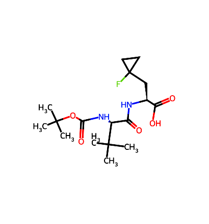 CC(C)(C)OC(=O)N[C@H](C(=O)N[C@@H](CC1(F)CC1)C(=O)O)C(C)(C)C